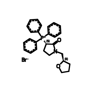 O=C1[C@@H]([P+](c2ccccc2)(c2ccccc2)c2ccccc2)CCN1C[C@H]1CCCO1.[Br-]